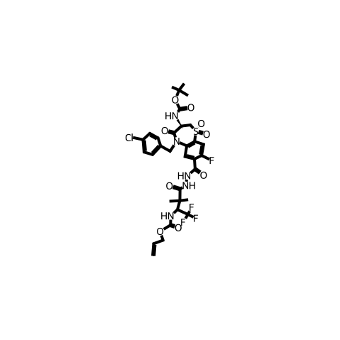 C=CCOC(=O)NC(C(F)(F)F)C(C)(C)C(=O)NNC(=O)c1cc2c(cc1F)S(=O)(=O)C[C@H](NC(=O)OC(C)(C)C)C(=O)N2Cc1ccc(Cl)cc1